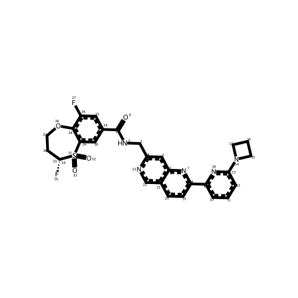 O=C(NCc1cc2nc(-c3cccc(N4CCC4)n3)ccc2cn1)c1cc(F)c2c(c1)S(=O)(=O)[C@H](F)CCO2